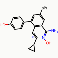 CCCc1cc(C(N)=NO)c(/C=C/C2CC2)c(-c2ccc(O)cc2)c1